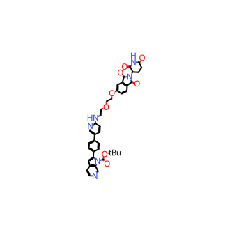 CC(C)(C)OC(=O)n1c(-c2ccc(-c3ccc(NCCOCCOc4ccc5c(c4)C(=O)N(C4CCC(=O)NC4=O)C5=O)nc3)cc2)cc2ccncc21